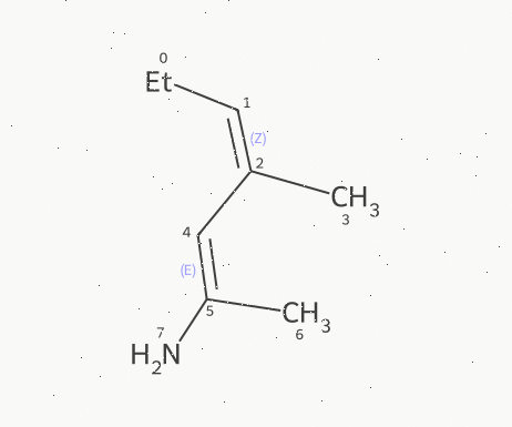 CC/C=C(C)\C=C(/C)N